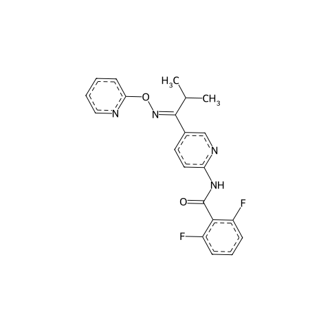 CC(C)/C(=N\Oc1ccccn1)c1ccc(NC(=O)c2c(F)cccc2F)nc1